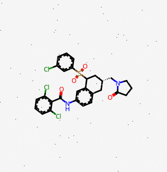 O=C(Nc1ccc2c(c1)C(S(=O)(=O)c1cccc(Cl)c1)C[C@H](CN1CCCC1=O)C2)c1c(Cl)cccc1Cl